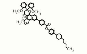 CCCCCC1CCC(c2ccc(OC(=O)c3ccc(-c4ccc5c6c(c7c(c5c4)COC7(C)C)C=CC(c4ccccc4OC)(c4ccccc4OC)O6)cc3)cc2)CC1